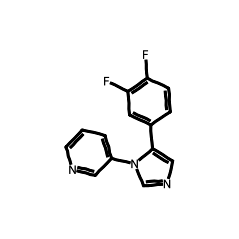 Fc1ccc(-c2cncn2-c2cccnc2)cc1F